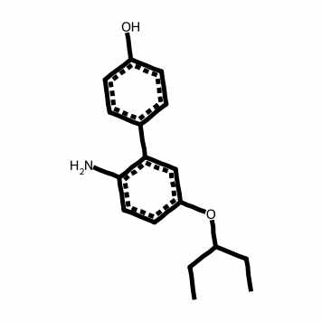 CCC(CC)Oc1ccc(N)c(-c2ccc(O)cc2)c1